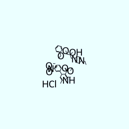 CCN1CCN(CC(O)COc2ccccc2OC)CC1.COC(=O)C1=C(C)NC(C)=CC1c1cccc([N+](=O)[O-])c1.Cl